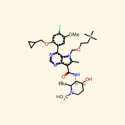 COc1cc(-c2ncnc3c(C(=O)N[C@H]4C(C(C)(C)C)N(C(=O)O)CC[C@@H]4O)c(C)n(COCC[Si](C)(C)C)c23)c(OCC2CC2)cc1F